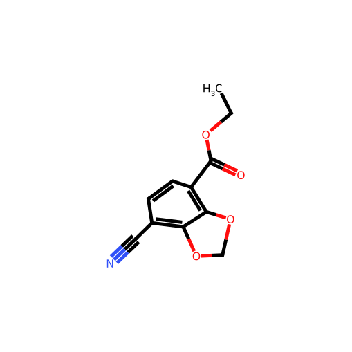 CCOC(=O)c1ccc(C#N)c2c1OCO2